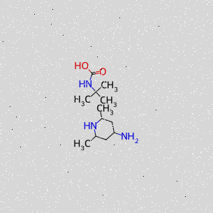 CC(C)(C)NC(=O)O.CC1CC(N)CC(C)N1